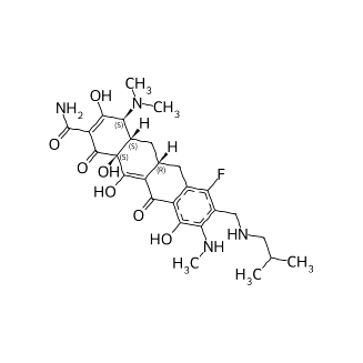 CNc1c(O)c2c(c(F)c1CNCC(C)C)C[C@H]1C[C@H]3[C@H](N(C)C)C(O)=C(C(N)=O)C(=O)[C@@]3(O)C(O)=C1C2=O